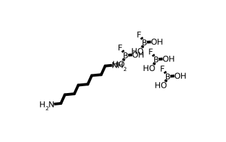 NCCCCCCCCN.OB(O)F.OB(O)F.OB(O)F.OB(O)F